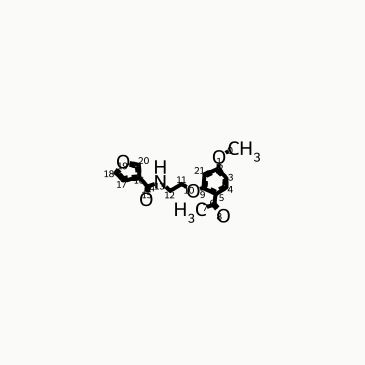 COc1ccc(C(C)=O)c(OCCNC(=O)c2ccoc2)c1